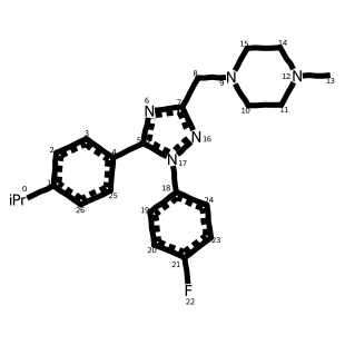 CC(C)c1ccc(-c2nc(CN3CCN(C)CC3)nn2-c2ccc(F)cc2)cc1